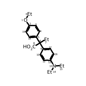 CCOc1ccc(C(CC)(C(=O)O)c2ccc(N(CC)CC)cc2)cc1